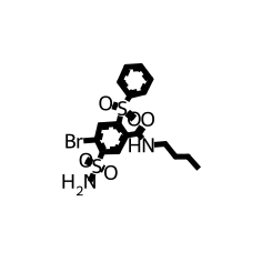 CCCCNC(=O)c1cc(S(N)(=O)=O)c(Br)cc1S(=O)(=O)c1ccccc1